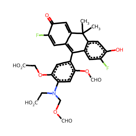 CC1(C)C2=CC(=O)C(F)=CC2=C(c2cc(OCC(=O)O)c(N(COC=O)CC(=O)O)cc2OC=O)c2cc(F)c(O)cc21